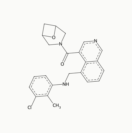 Cc1c(Cl)cccc1NCc1cccc2cncc(C(=O)N3CC4CC(C3)O4)c12